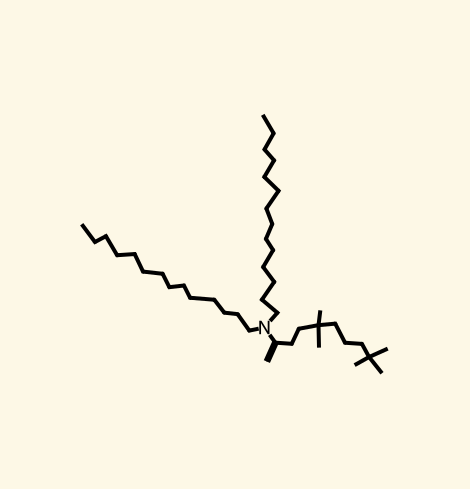 C=C(CCC(C)(C)CCCC(C)(C)C)N(CCCCCCCCCCCCCC)CCCCCCCCCCCCCC